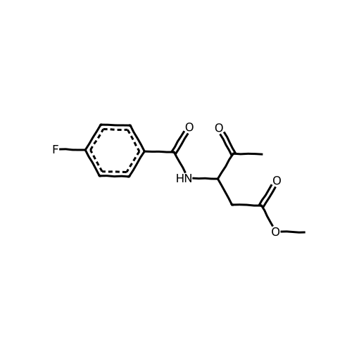 COC(=O)CC(NC(=O)c1ccc(F)cc1)C(C)=O